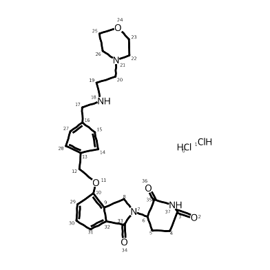 Cl.Cl.O=C1CCC(N2Cc3c(OCc4ccc(CNCCN5CCOCC5)cc4)cccc3C2=O)C(=O)N1